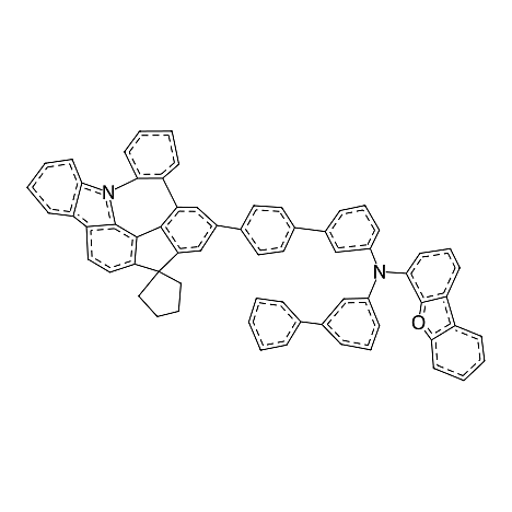 c1ccc(-c2cccc(N(c3cccc(-c4ccc(-c5cc6c7c(c5)C5(CCCC5)c5ccc8c9ccccc9n(c8c5-7)-c5ccccc5-6)cc4)c3)c3cccc4c3oc3ccccc34)c2)cc1